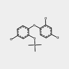 C[Si](C)(C)Oc1cc(Cl)ccc1Oc1ccc(Cl)cc1Cl